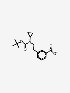 CC(C)(C)OC(=O)N(CCc1cccc([N+](=O)[O-])c1)C1CC1